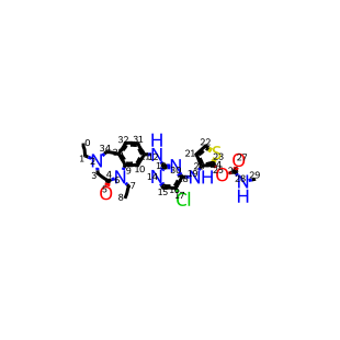 CCN1CC(=O)N(CC)c2cc(Nc3ncc(Cl)c(Nc4ccsc4OC(=O)NC)n3)ccc2C1